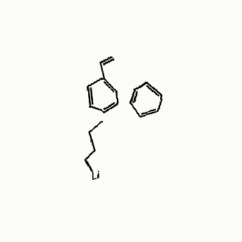 C=Cc1ccccc1.[Li][CH2]CCC.c1ccccc1